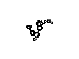 COCOc1ccc(C(=O)c2cc(-c3ccco3)ccc2[N+](=O)[O-])cc1OC